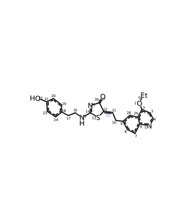 CCOc1ccnc2ccc(C/C=C3\SC(NCCc4ccc(O)cc4)=NC3=O)cc12